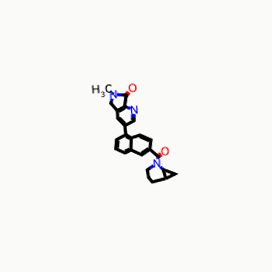 CN1Cc2cc(-c3cccc4cc(C(=O)N5CCCC6CC65)ccc34)cnc2C1=O